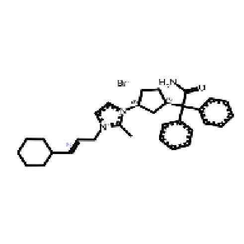 Cc1n([C@H]2CC[C@@H](C(C(N)=O)(c3ccccc3)c3ccccc3)C2)cc[n+]1C/C=C/C1CCCCC1.[Br-]